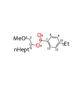 CCCCCCCC(COC)OC(=O)c1ccc(CC)cc1